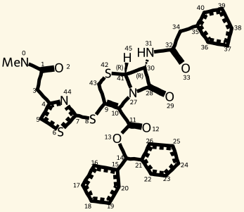 CNC(=O)Cc1csc(SC2=C(C(=O)OC(c3ccccc3)c3ccccc3)N3C(=O)[C@@H](NC(=O)Cc4ccccc4)[C@H]3SC2)n1